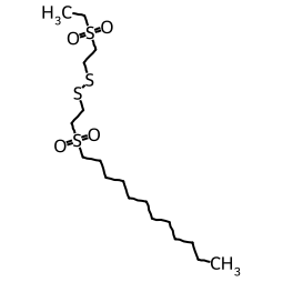 CCCCCCCCCCCCS(=O)(=O)CCSSCCS(=O)(=O)CC